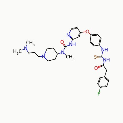 CN(C)CCCN1CCC(N(C)C(=O)Nc2cc(Oc3ccc(NC(=S)NC(=O)Cc4ccc(F)cc4)cc3)ccn2)CC1